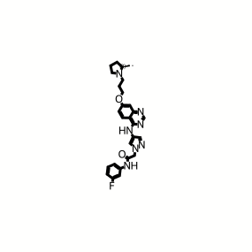 [CH2][C@@H]1CCCN1CCCOc1ccc2c(Nc3cnn(CC(=O)Nc4cccc(F)c4)c3)ncnc2c1